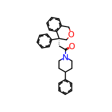 O=C(C[C@@]1(c2ccccc2)COCc2ccccc21)N1CCC(c2ccccc2)CC1